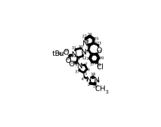 Cc1cn(C[C@@H]2CCN(C(=O)C3CN([C@H]4c5ccc(Cl)cc5OCc5cccnc54)CCN3C(=O)OC(C)(C)C)C2)cn1